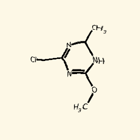 COC1=NC(Cl)=NC(C)N1